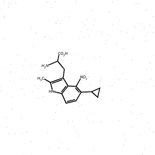 Cc1[nH]c2ccc(C3CC3)c([N+](=O)[O-])c2c1CC(N)C(=O)O